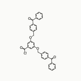 O=C(Cl)c1cc(OCc2ccc(C(=O)c3ccccc3)cc2)cc(OCc2ccc(C(=O)c3ccccc3)cc2)c1